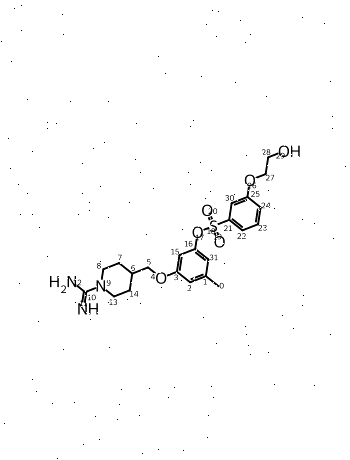 Cc1cc(OCC2CCN(C(=N)N)CC2)cc(OS(=O)(=O)c2cccc(OCCO)c2)c1